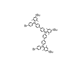 Cc1cc(C(C)(C)C)cc(C)c1N(c1ccc(Br)cc1)c1ccc(-c2ccc(N(c3ccc(-c4ccc(N(c5ccc(Br)cc5)c5c(C)cc(C(C)(C)C)cc5C)cc4)cc3)c3c(C)cc(C(C)(C)C)cc3C)cc2)cc1